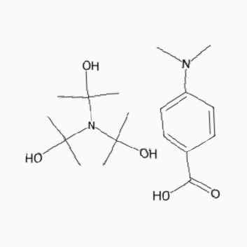 CC(C)(O)N(C(C)(C)O)C(C)(C)O.CN(C)c1ccc(C(=O)O)cc1